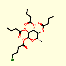 CCCC(=O)O[C@@H]1[C@H](OC(=O)CCC)[C@H](C)OC(OC(=O)CCCBr)[C@H]1OC(=O)CCC